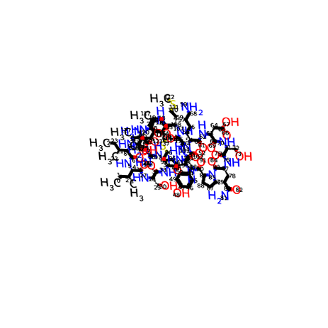 CC[C@H](C)[C@H](NC(=O)[C@@H](NC(=O)[C@@H](N)Cc1ccccc1)[C@@H](C)CC)C(=O)N[C@@H](CO)C(=O)N[C@@H](CCSC)C(=O)N[C@@H](Cc1ccc(O)cc1)C(=O)N[C@@H](CCCCN)C(=O)N[C@@H](CC(=O)O)C(=O)N[C@@H](CO)C(=O)N[C@@H](CCC(N)=O)C(=O)N1CCC[C@H]1C(=O)N[C@@H](CCCNC(=N)N)C(=O)NCC(=O)N[C@@H](CCSC)C(=O)N[C@@H](C)C(=O)N[C@H](C(=O)O)C(C)C